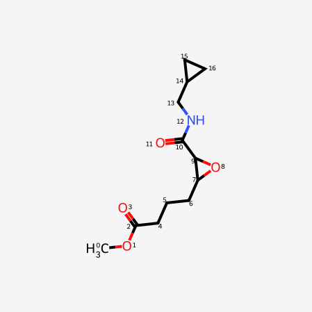 COC(=O)CCCC1OC1C(=O)NCC1CC1